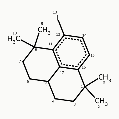 CC1(C)CCC2CCC(C)(C)c3c(I)ccc1c32